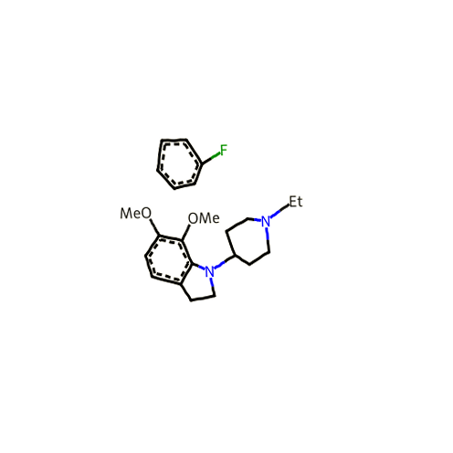 CCN1CCC(N2CCc3ccc(OC)c(OC)c32)CC1.Fc1ccccc1